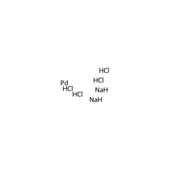 Cl.Cl.Cl.Cl.[NaH].[NaH].[Pd]